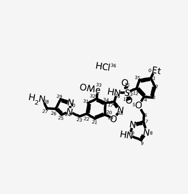 CCc1ccc(OCc2nc[nH]n2)c(S(=O)(=O)Nc2noc3cc(Cn4cc(CN)cn4)cc(OC)c23)c1.Cl